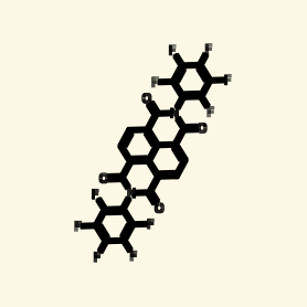 O=C1c2ccc3c4c(ccc(c24)C(=O)N1c1c(F)c(F)c(F)c(F)c1F)C(=O)N(c1c(F)c(F)c(F)c(F)c1F)C3=O